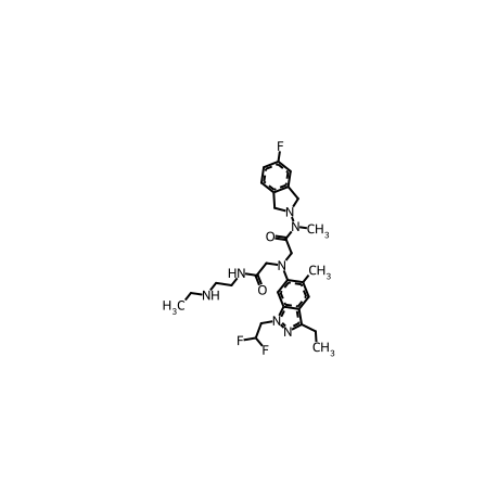 CCNCCNC(=O)CN(CC(=O)N(C)N1Cc2ccc(F)cc2C1)c1cc2c(cc1C)c(CC)nn2CC(F)F